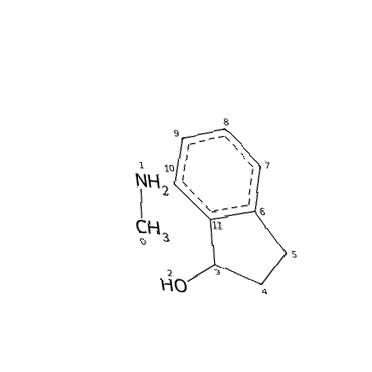 CN.OC1CCc2ccccc21